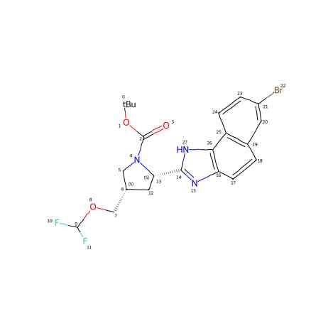 CC(C)(C)OC(=O)N1C[C@@H](COC(F)F)C[C@H]1c1nc2ccc3cc(Br)ccc3c2[nH]1